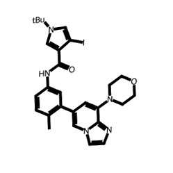 Cc1ccc(NC(=O)c2cn(C(C)(C)C)cc2I)cc1-c1cc(N2CCOCC2)c2nccn2c1